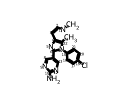 C=N/C=C\c1nc(-c2cnc(N)nc2)n(-c2ccc(Cl)cc2)c1C